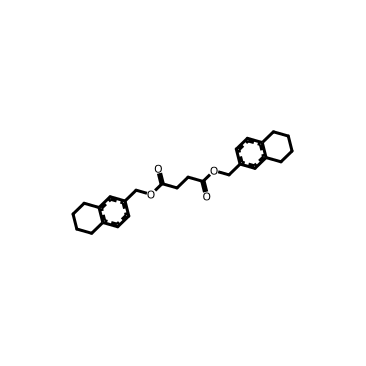 O=C(CCC(=O)OCc1ccc2c(c1)CCCC2)OCc1ccc2c(c1)CCCC2